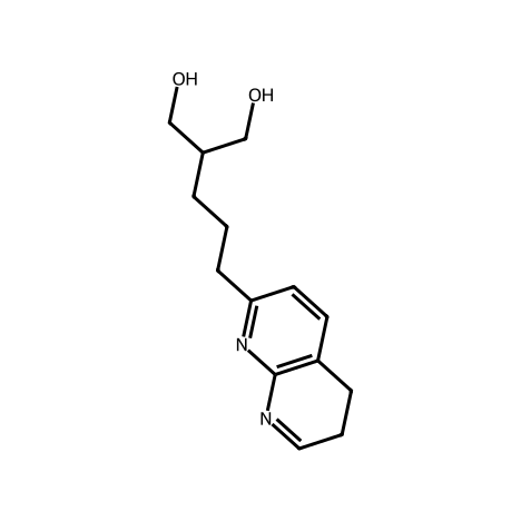 OCC(CO)CCCc1ccc2c(n1)N=CCC2